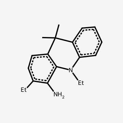 CCc1ccc2c(c1N)N(CC)c1ccccc1C2(C)C